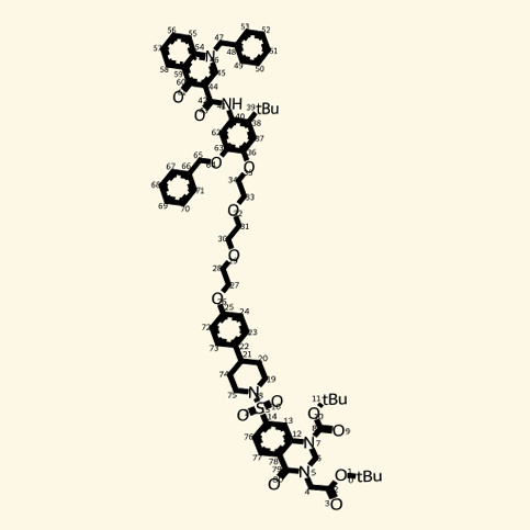 CC(C)(C)OC(=O)CN1CN(C(=O)OC(C)(C)C)c2cc(S(=O)(=O)N3CCC(c4ccc(OCCOCCOCCOc5cc(C(C)(C)C)c(NC(=O)c6cn(Cc7ccccc7)c7ccccc7c6=O)cc5OCc5ccccc5)cc4)CC3)ccc2C1=O